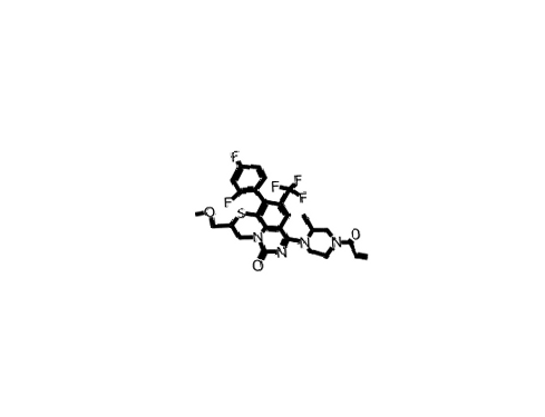 C=CC(=O)N1CCN(c2nc(=O)n3c4c(c(-c5ccc(F)cc5F)c(C(F)(F)F)cc24)SC(COC)C3)C(C)C1